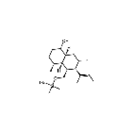 C/C=C(\C)[C@H]1[C@@H](CO[Si](C)(C)C(C)(C)C)[C@H]2[C@@H](C[C@@H]1C)[C@@H](O)CC[C@@H]2C